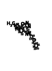 Cn1cnc(-c2cc3c(-c4cn([C@H]5C[C@@H](OCc6ccccc6)C5)nc4-c4ccc(F)cc4)ncnc3o2)c1